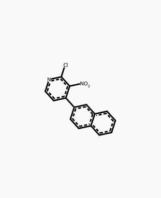 O=[N+]([O-])c1c(-c2ccc3ccccc3c2)ccnc1Cl